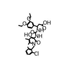 CCOc1ccc(C(CC(=O)O)NC(=O)Nc2c(O)c(C)c(C)n(Cc3c(C)cccc3Cl)c2=O)cc1OCC